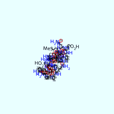 CSCC[C@H](NC(=O)[C@H](CCC(N)=O)NC(=O)[C@H](CCC(=O)O)NC(=O)[C@@H]1CCCN1C(=O)[C@H](CO)NC(=O)[C@H](C)NC(=O)[C@H](CC(N)=O)NC(=O)[C@H](CC(=O)O)NC(=O)CNC(=O)[C@@H]1CCCN1C(=O)[C@H](CC(N)=O)NC(=O)[C@H](CC(=O)O)NC(=O)[C@@H]1CCCN1C(=O)[C@H](CCCCN)NC(=O)[C@@H]1CCCN1C(=O)[C@@H]1CCCN1C(=O)[C@@H](N)Cc1ccccc1)C(=O)N[C@@H](C)C(=O)N[C@@H](CCCNC(=N)N)C(=O)O